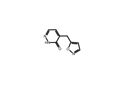 O=c1[nH]nccc1Cc1ccno1